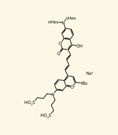 CCCCCCN(CCCCCC)c1ccc2c(O)c(C=CC=Cc3cc(C(C)(C)C)[o+]c4cc(N(CCCS(=O)(=O)O)CCCS(=O)(=O)O)ccc34)c(=O)oc2c1.[Na+]